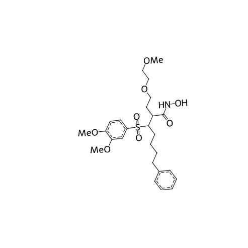 COCCOCCC(C(=O)NO)C(CCCCc1ccccc1)S(=O)(=O)c1ccc(OC)c(OC)c1